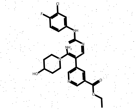 C=C(/N=C\C(=C(/N)N1CCC(O)CC1)c1cncc(C(=O)OCC)c1)Nc1ccc(F)c(Cl)c1